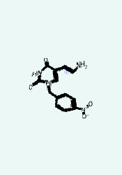 N/C=C/c1cn(Cc2ccc([N+](=O)[O-])cc2)c(=O)[nH]c1=O